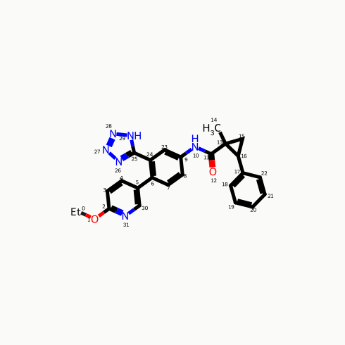 CCOc1ccc(-c2ccc(NC(=O)C3(C)CC3c3ccccc3)cc2-c2nnn[nH]2)cn1